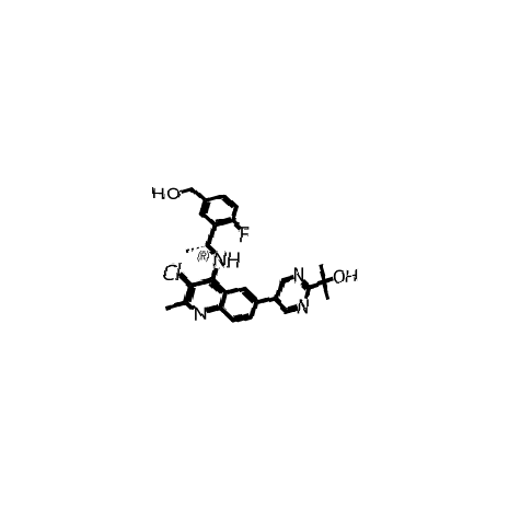 Cc1nc2ccc(C3C=NC(C(C)(C)O)=NC3)cc2c(N[C@H](C)c2cc(CO)ccc2F)c1Cl